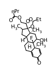 CCCC(=O)OCC(=O)[C@@]1(OC(=O)CC)C(C)C[C@H]2[C@@H]3CCC4=CC(=O)C=C[C@]4(C)[C@@]3(F)C(O)C[C@@]21C